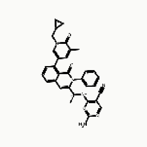 Cc1cc(-c2cccc3cc([C@H](C)Nc4nc(N)ncc4C#N)n(-c4ccccc4)c(=O)c23)cn(CC2CC2)c1=O